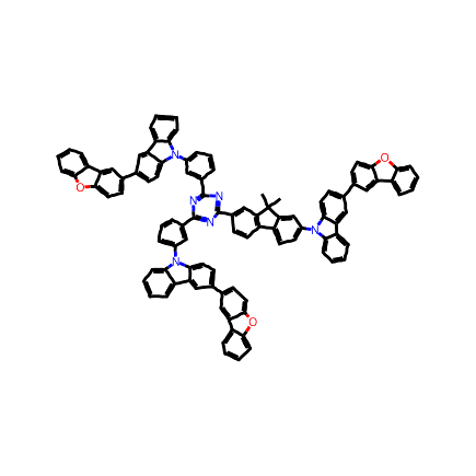 CC1(C)c2cc(-c3nc(-c4cccc(-n5c6ccccc6c6cc(-c7ccc8oc9ccccc9c8c7)ccc65)c4)nc(-c4cccc(-n5c6ccccc6c6cc(-c7ccc8oc9ccccc9c8c7)ccc65)c4)n3)ccc2-c2ccc(-n3c4ccccc4c4cc(-c5ccc6oc7ccccc7c6c5)ccc43)cc21